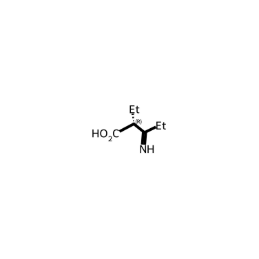 CCC(=N)[C@@H](CC)C(=O)O